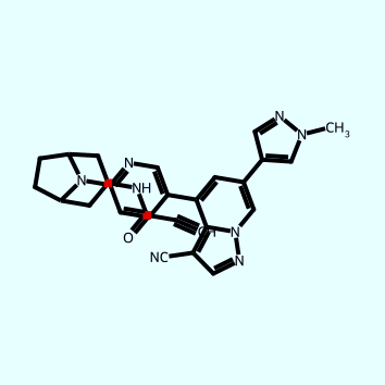 C#CC(=O)NC1CC2CCC(C1)N2c1ccc(-c2cc(-c3cnn(C)c3)cn3ncc(C#N)c23)cn1